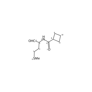 CSCCC(C=O)NC(=O)C1CCC1